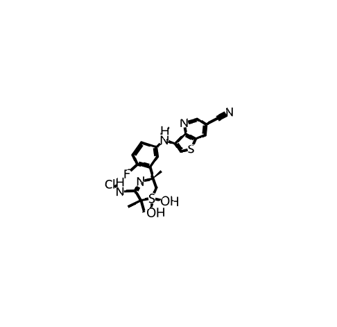 CC1(C)C(NCl)=N[C@](C)(c2cc(Nc3csc4cc(C#N)cnc34)ccc2F)CS1(O)O